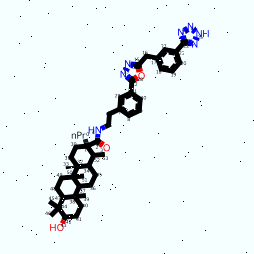 CCCC1(C(=O)NCCc2cccc(-c3nnc(Cc4cccc(-c5nn[nH]n5)c4)o3)c2)CC[C@]2(C)C(CCC3C4(C)CCC(O)C(C)(C)C4CCC32C)C1C